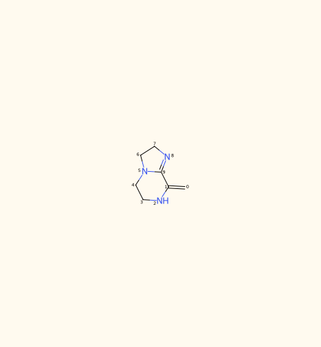 C=C1NCCN2CCN=C12